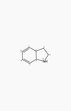 [C]1=CC2CCNC2C=C1